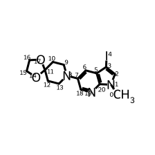 Cn1cc(I)c2cc(N3CCC4(CC3)OCCO4)cnc21